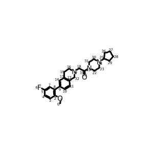 COc1ccc(F)cc1-c1ccc2c(c1)CCN(CC(=O)N1CCN(C3CCCC3)CC1)C2